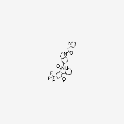 COc1cc(C(F)(F)F)cc(C(=O)Nc2ccc3c(c2)CCN3C(=O)Cc2ccccn2)c1-c1ccccc1